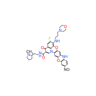 CN1CCCC1CCNC(=O)c1cn2c3cc4oc5cc(N=O)ccc5[nH]c4cc3oc3c(NCCCN4CCOCC4)c(F)cc(c1=O)c32